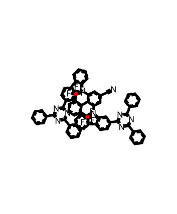 N#Cc1cc(-n2c3ccccc3c3ccc(-c4nc(-c5ccccc5)nc(-c5ccccc5)n4)cc32)c(-c2c(C(F)(F)F)cccc2C(F)(F)F)c(-n2c3ccccc3c3ccc(-c4nc(-c5ccccc5)nc(-c5ccccc5)n4)cc32)c1